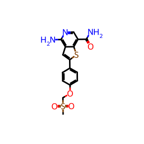 CS(=O)(=O)COc1ccc(-c2cc3c(N)ncc(C(N)=O)c3s2)cc1